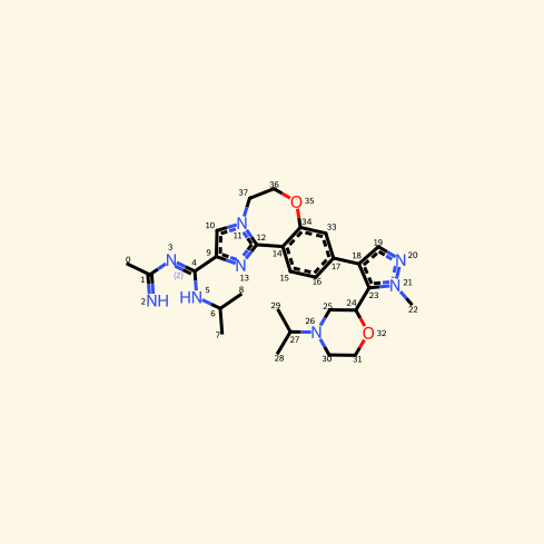 CC(=N)/N=C(\NC(C)C)c1cn2c(n1)-c1ccc(-c3cnn(C)c3C3CN(C(C)C)CCO3)cc1OCC2